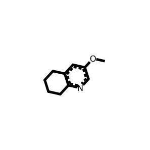 COc1cnc2c(c1)CCCC2